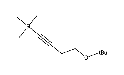 CC(C)(C)OCCC#C[Si](C)(C)C